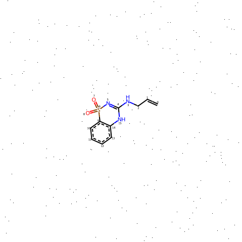 C=CCNC1=NS(=O)(=O)c2ccccc2N1